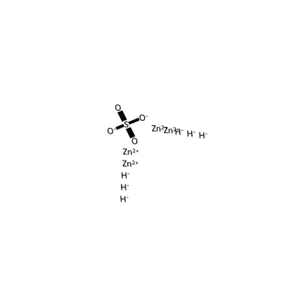 O=S(=O)([O-])[O-].[H-].[H-].[H-].[H-].[H-].[H-].[Zn+2].[Zn+2].[Zn+2].[Zn+2]